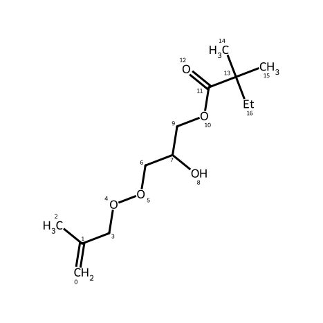 C=C(C)COOCC(O)COC(=O)C(C)(C)CC